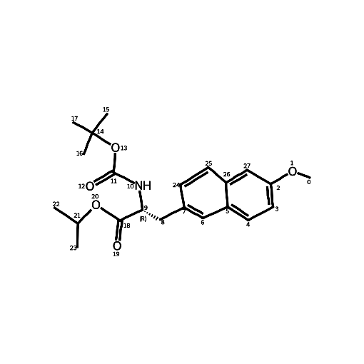 COc1ccc2cc(C[C@@H](NC(=O)OC(C)(C)C)C(=O)OC(C)C)ccc2c1